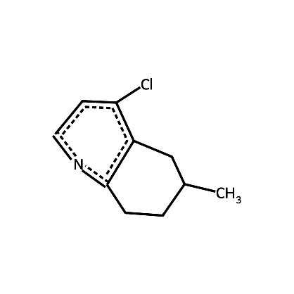 CC1CCc2nccc(Cl)c2C1